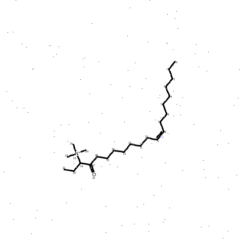 CCCCCCCC/C=C\CCCCCCCC(=O)C(CC)[N+](C)(C)C